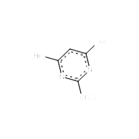 O=Cc1nc(O)cc(O)n1